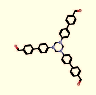 O=Cc1ccc(-c2ccc(N3CN(c4ccc(-c5ccc(C=O)cc5)cc4)CN(c4ccc(-c5ccc(C=O)cc5)cc4)C3)cc2)cc1